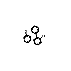 Cc1ccccc1-c1ccccc1.Clc1ccccc1